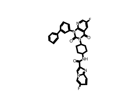 O=C(NC1CCC(n2c(=O)c3cc(F)cnc3n(-c3cccc(-c4ccccc4)c3)c2=O)CC1)c1cn2cc(F)ccc2n1